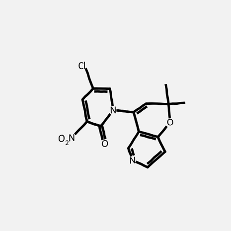 CC1(C)C=C(n2cc(Cl)cc([N+](=O)[O-])c2=O)c2cnccc2O1